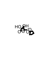 O=C1O[C@H]([C@@H]2COC3(CCCC3)O2)C(O)=C1O